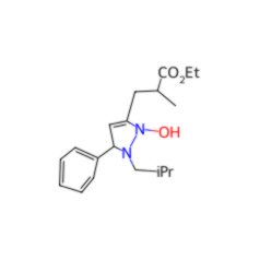 CCOC(=O)C(C)CC1=CC(c2ccccc2)N(CC(C)C)N1O